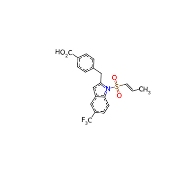 CC=CS(=O)(=O)n1c(Cc2ccc(C(=O)O)cc2)cc2cc(C(F)(F)F)ccc21